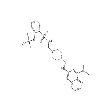 CN(C)c1nc(NCC2CCC(CNS(=O)(=O)c3ccccc3OC(F)(F)F)CC2)nc2ccccc12